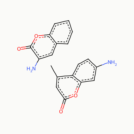 Cc1cc(=O)oc2cc(N)ccc12.Nc1cc2ccccc2oc1=O